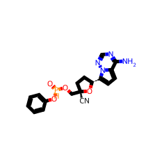 N#C[C@@]1(CO[PH](=O)Oc2ccccc2)CC[C@H](c2ccc3c(N)ncnn23)O1